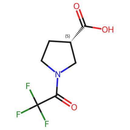 O=C(O)[C@H]1CCN(C(=O)C(F)(F)F)C1